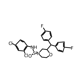 [O-][S+](Nc1ccc(Cl)cc1Cl)N1CCOC(C(c2ccc(F)cc2)c2ccc(F)cc2)C1